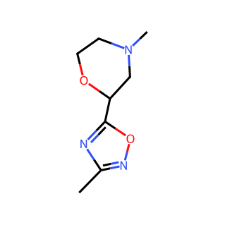 Cc1noc(C2CN(C)CCO2)n1